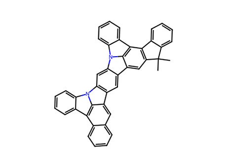 CC1(C)c2ccccc2-c2c1cc1c3cc4c5cc6ccccc6c6c7ccccc7n(c4cc3n3c4ccccc4c2c13)c56